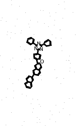 C1=CCC(c2nc(-c3ccccc3)nc(-c3ccc4c(c3)oc3cc5ccc(-c6ccc7ccccc7c6)cc5cc34)n2)C=C1